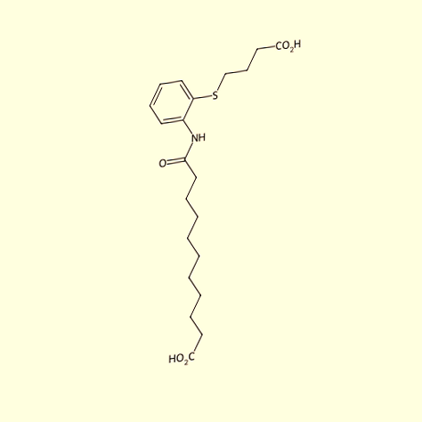 O=C(O)CCCCCCCCCC(=O)Nc1ccccc1SCCCC(=O)O